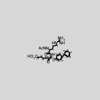 CC(=O)N[C@H](CCCNC(=N)N)C(=O)N[C@H](Cc1ccc(-c2ccccc2)cc1)C(=O)NCCCC(=O)O